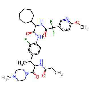 CCC(=O)NC(C(=O)N1CCN(C)CC1)C(C)c1ccc(NC(=O)C(NC(=O)C(F)(F)c2ccc(OC)nc2)C2CCCCCC2)c(F)c1